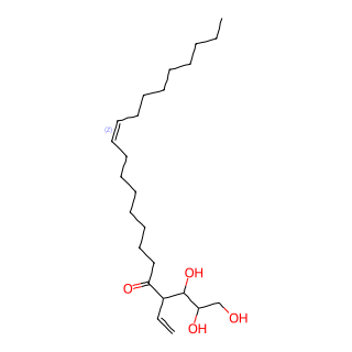 C=CC(C(=O)CCCCCCC/C=C\CCCCCCCC)C(O)C(O)CO